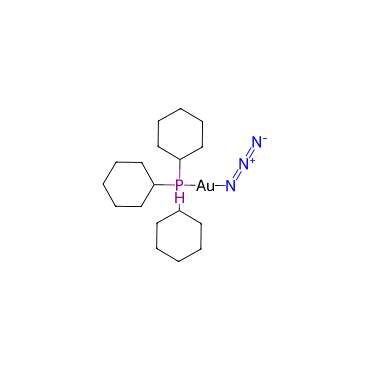 [N-]=[N+]=[N][Au][PH](C1CCCCC1)(C1CCCCC1)C1CCCCC1